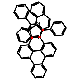 c1ccc(-c2nc(-c3ccccc3)nc(-c3cccc4c5ccccc5c5cccc(-n6c7ccccc7c7c8ccccc8ccc76)c5c34)n2)cc1